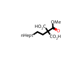 CCCCCCCCCC(C(=O)O)(C(=O)O)C(=O)OC